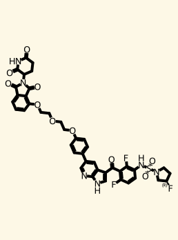 O=C1CCC(N2C(=O)c3cccc(OCCOCCOc4ccc(-c5cnc6[nH]cc(C(=O)c7c(F)ccc(NS(=O)(=O)N8CC[C@@H](F)C8)c7F)c6c5)cc4)c3C2=O)C(=O)N1